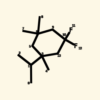 CC(C)C1(C)CC(C)(C)CC(F)(F)C1